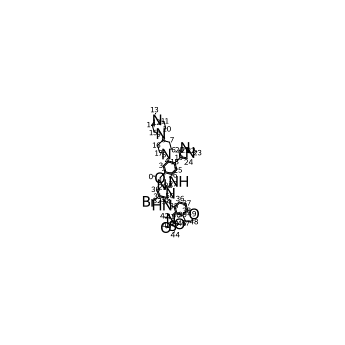 COc1cc(N2CCC(N3CCN(C)CC3)CC2)c(-c2cnn(C)c2)cc1Nc1ncc(Br)c(Nc2ccc3c(c2N(C)S(C)(=O)=O)CCO3)n1